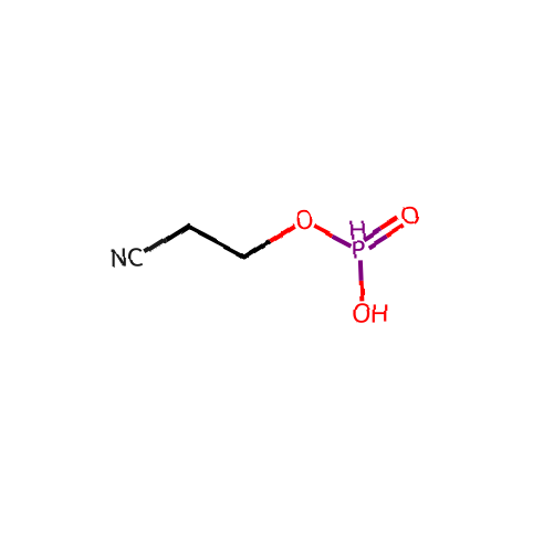 N#CCCO[PH](=O)O